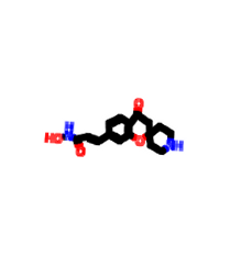 O=C(C=Cc1ccc2c(c1)OC1(CCNCC1)CC2=O)NO